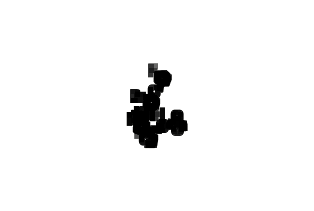 CCS(=O)(=O)CCOCCC1(c2cc3c(Nc4ccc(OCc5cccc(F)c5)c(Br)c4)ncnc3cn2)CC=CO1